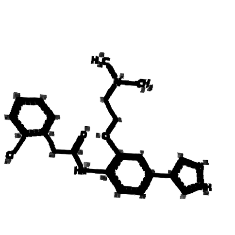 CN(C)CCOc1cc(-c2cn[nH]c2)ccc1NC(=O)Cc1ccccc1Cl